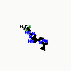 CC(F)(F)CNc1ncc2c(-c3ccn4ncc(C5CC5)c4n3)c[nH]c2n1